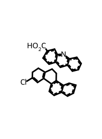 ClC1=CC2=C(CC1)CCc1c2ccc2ccccc12.O=C(O)c1ccc2cc3ccccc3nc2c1